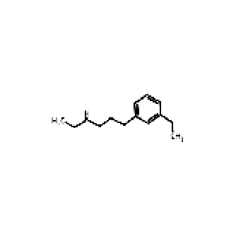 CCNCCCc1cccc(CC)c1